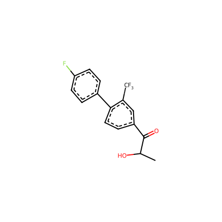 CC(O)C(=O)c1ccc(-c2ccc(F)cc2)c(C(F)(F)F)c1